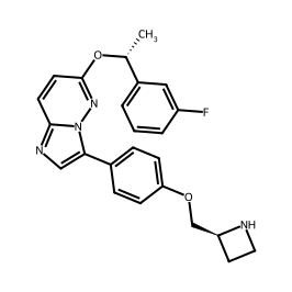 C[C@@H](Oc1ccc2ncc(-c3ccc(OC[C@@H]4CCN4)cc3)n2n1)c1cccc(F)c1